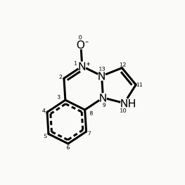 [O-][N+]1=Cc2ccccc2N2NC=CN21